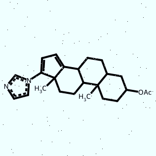 CC(=O)OC1CCC2(C)C(CCC3C4=CC=C(n5ccnc5)C4(C)CCC32)C1